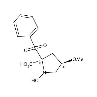 CO[C@H]1CN(O)[C@@](C(=O)O)(S(=O)(=O)c2ccccc2)C1